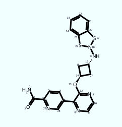 NC(=O)c1ccc(-c2nccnc2O[C@H]2C[C@H](NN3Sc4ccccc4S3)C2)cn1